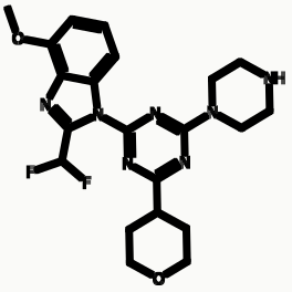 COc1cccc2c1nc(C(F)F)n2-c1nc(C2CCOCC2)nc(N2CCNCC2)n1